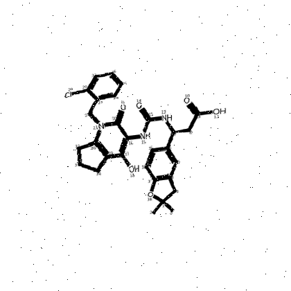 CC1(C)Cc2cc([C@H](CC(=O)O)NC(=O)Nc3c(O)c4c(n(Cc5ccccc5Cl)c3=O)CCC4)ccc2O1